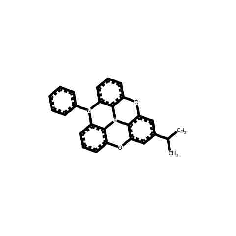 CC(C)c1cc2c3c(c1)Oc1cccc4c1B3c1c(cccc1N4c1ccccc1)O2